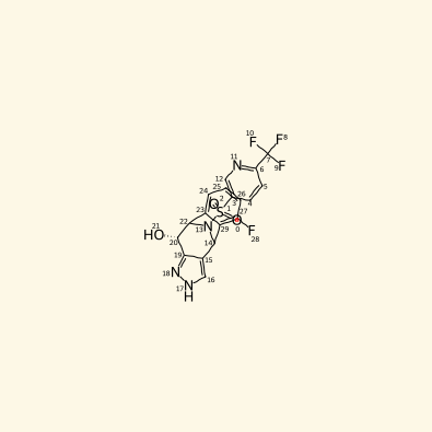 O=S(=O)(c1ccc(C(F)(F)F)nc1)N1C2c3c[nH]nc3[C@H](O)C1c1cccc(F)c12